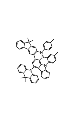 Cc1ccc(N2B3c4cc(C)ccc4-n4c5ccccc5c5c(N6c7ccccc7C(C)(C)c7ccccc76)cc(c3c54)-c3cc4c(cc32)C(C)(C)c2ccccc2-4)cc1